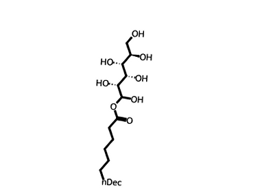 CCCCCCCCCCCCCCCC(=O)OC(O)[C@H](O)[C@@H](O)[C@H](O)[C@H](O)CO